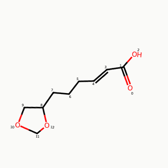 O=C(O)C=CCCCC1COCO1